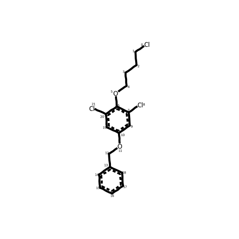 ClCCCCOc1c(Cl)cc(OCc2ccccc2)cc1Cl